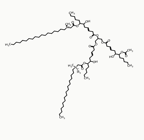 C=[N+](CCCCCCCCCCCCCCCCCC)CC(=O)OC(CCCCC)C(O)C/C=C/CC(=O)OC(COC(=O)C/C=C/CC(O)C(CCCCC)OC(C)=O)COC(=O)C/C=C/CC(O)C(CCCCC)OC(=O)C[N+](C)(C)CCCCCCCCCCCCCCCCCC